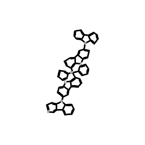 c1ccc([Si](c2ccccc2)(c2cccc3c2oc2ccc(-n4c5ccccc5c5cnccc54)cc23)c2cccc3c2sc2ccc(-n4c5ccccc5c5ccccc54)cc23)cc1